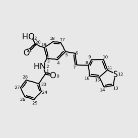 O=C(Nc1cc(C=Cc2ccc3sccc3c2)ccc1C(=O)O)c1ccccc1